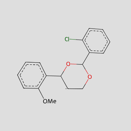 COc1ccccc1C1[CH]COC(c2ccccc2Cl)O1